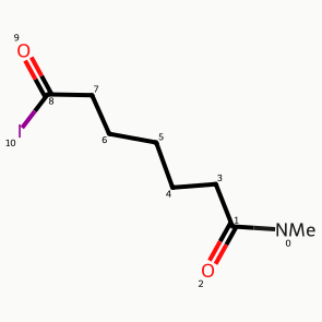 CNC(=O)CCCCCC(=O)I